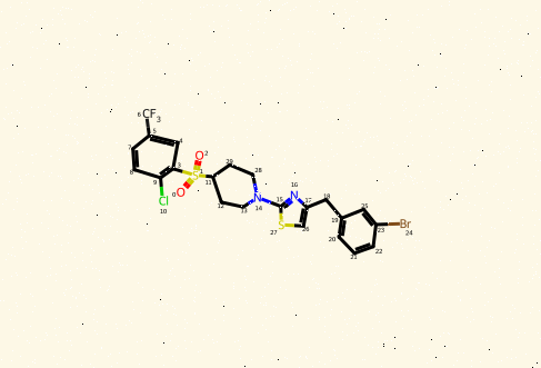 O=S(=O)(c1cc(C(F)(F)F)ccc1Cl)C1CCN(c2nc(Cc3cccc(Br)c3)cs2)CC1